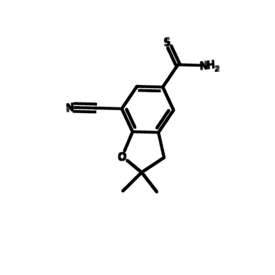 CC1(C)Cc2cc(C(N)=S)cc(C#N)c2O1